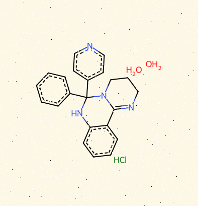 Cl.O.O.c1ccc(C2(c3ccncc3)Nc3ccccc3C3=NCCCN32)cc1